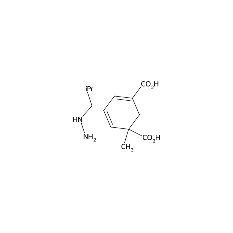 CC(C)CNN.CC1(C(=O)O)C=CC=C(C(=O)O)C1